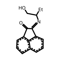 CCC(CO)/N=C1\C(=O)c2cccc3cccc1c23